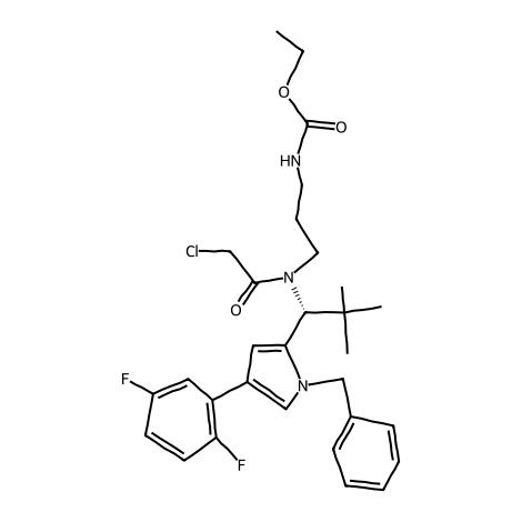 CCOC(=O)NCCCN(C(=O)CCl)[C@@H](c1cc(-c2cc(F)ccc2F)cn1Cc1ccccc1)C(C)(C)C